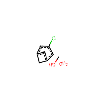 CO.Clc1cc2cc(c1)C2.O